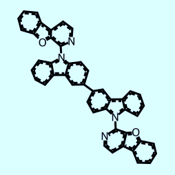 c1ccc2c(c1)oc1c(-n3c4ccccc4c4cc(-c5ccc6c(c5)c5ccccc5n6-c5nccc6c5oc5ccccc56)ccc43)nccc12